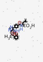 Cc1ncnc(-c2ccc(C(=O)NC(CC3CC3)C(=O)O)cc2)c1NC(=O)OC(C)c1ccccc1